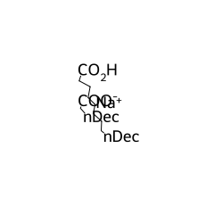 CCCCCCCCCCCC(=O)[O-].CCCCCCCCCCCCCCCCCC(=O)O.[Na+]